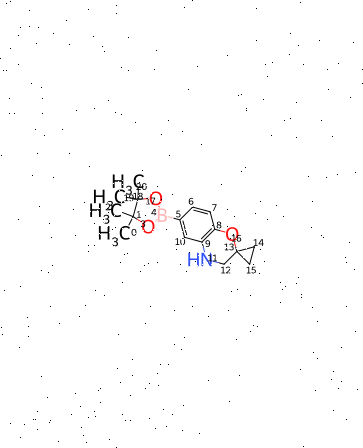 CC1(C)OB(c2ccc3c(c2)NCC2(CC2)O3)OC1(C)C